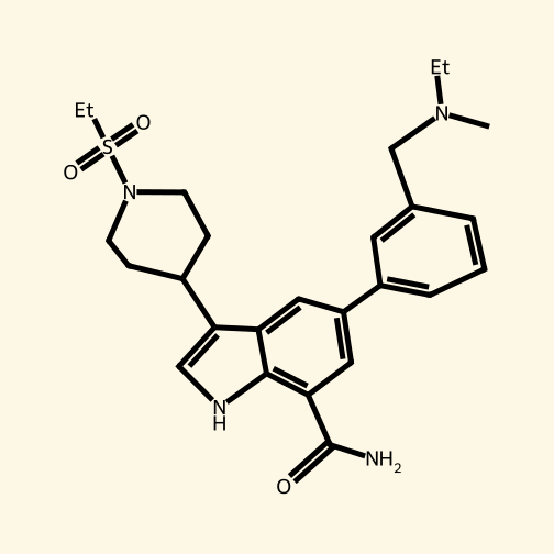 CCN(C)Cc1cccc(-c2cc(C(N)=O)c3[nH]cc(C4CCN(S(=O)(=O)CC)CC4)c3c2)c1